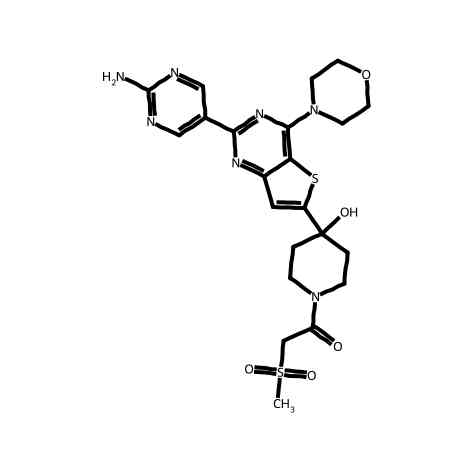 CS(=O)(=O)CC(=O)N1CCC(O)(c2cc3nc(-c4cnc(N)nc4)nc(N4CCOCC4)c3s2)CC1